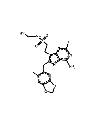 Cc1cc2c(cc1Cc1nc3c(N)nc(F)nc3n1CCS(=O)(=O)NCC(C)C)OCO2